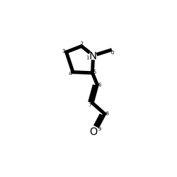 CN1CCCC1C=CC=O